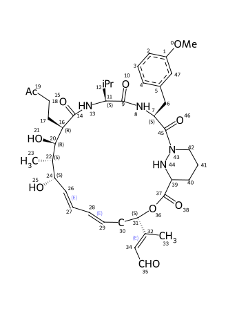 COc1cccc(C[C@@H]2NC(=O)[C@H](C(C)C)NC(=O)[C@H](CCC(C)=O)[C@H](O)[C@@H](C)[C@@H](O)/C=C/C=C/C[C@@H](/C(C)=C/C=O)OC(=O)C3CCCN(N3)C2=O)c1